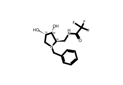 O=C(NC[C@@H]1[C@@H](O)[C@@H](O)CN1Cc1ccccc1)C(F)(F)F